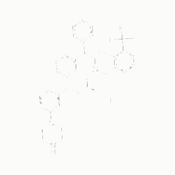 C[C@@H](COc1cccc(N2CCNCC2)c1)CN(Cc1cccc(C(F)(F)F)c1Cl)CC(c1ccccc1)c1ccccc1.Cl